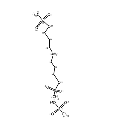 CS(=O)(=O)O.CS(=O)(=O)OCCCNCCCOS(C)(=O)=O